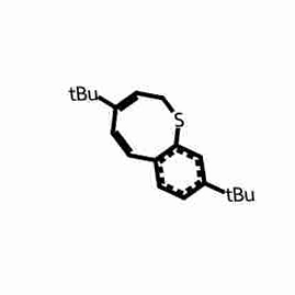 CC(C)(C)C1=C/CSc2cc(C(C)(C)C)ccc2/C=C\1